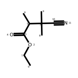 CCOC(=O)C(C)C(C)(C)C#N